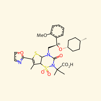 COc1ccccc1[C@H](CN1C(=O)N(C(C)(C)C(=O)O)S(=O)(=O)C2C(C)=C(c3ncco3)SC21)O[C@H]1CC[C@@H](C)CC1